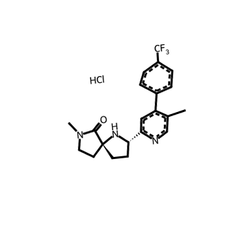 Cc1cnc([C@@H]2CC[C@]3(CCN(C)C3=O)N2)cc1-c1ccc(C(F)(F)F)cc1.Cl